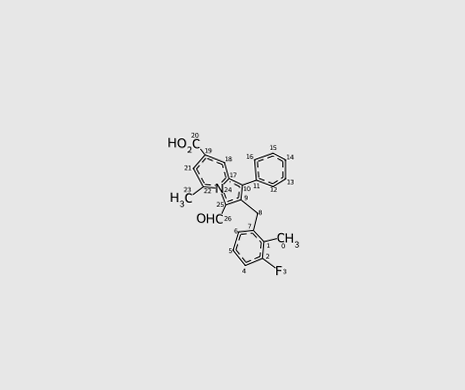 Cc1c(F)cccc1Cc1c(-c2ccccc2)c2cc(C(=O)O)cc(C)n2c1C=O